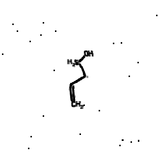 C=C[CH][SiH2]O